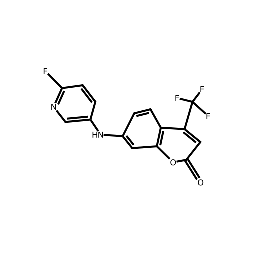 O=c1cc(C(F)(F)F)c2ccc(Nc3ccc(F)nc3)cc2o1